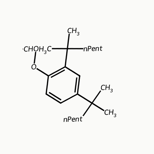 CCCCCC(C)(C)c1ccc(O[C]=O)c(C(C)(C)CCCCC)c1